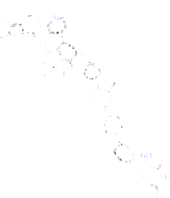 [2H]C([2H])([2H])n1cc(-c2ccnc(N3CCc4c(sc5c4CCCC5)C3=O)c2CO)cc(Nc2ccc(N3CCN(C4CCN(c5cccc(NC6CCC(=O)NC6=O)c5)CC4)C[C@@H]3C)cn2)c1=O